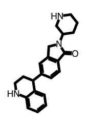 O=C1c2ccc(C3CCNc4ccccc43)cc2CN1C1CCCNC1